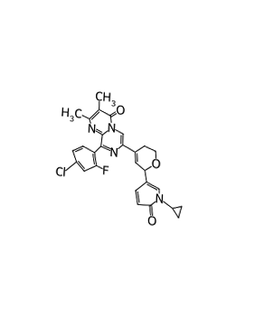 Cc1nc2c(-c3ccc(Cl)cc3F)nc(C3=CC(c4ccc(=O)n(C5CC5)c4)OCC3)cn2c(=O)c1C